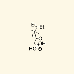 CCC(CC)C(C)(C)OC(=O)CP(=O)(O)O